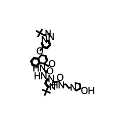 CC(C)(C)c1cc(NC(=O)N[C@@]2(C=O)C=C[C@@H](Oc3ccc4nnc(C(C)(C)C)n4c3)c3ccccc32)nc(C(=O)NCCN2CC[C@H](O)C2)n1